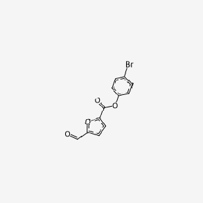 O=Cc1ccc(C(=O)Oc2ccc(Br)cc2)o1